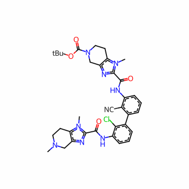 CN1CCc2c(nc(C(=O)Nc3cccc(-c4cccc(NC(=O)c5nc6c(n5C)CCN(C(=O)OC(C)(C)C)C6)c4C#N)c3Cl)n2C)C1